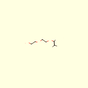 CCOCCOCCOC(C(=O)OCC)C(C(C)=O)C(=O)OCC